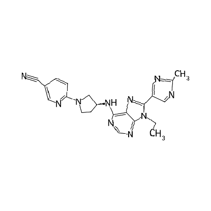 CCn1c(-c2cnc(C)nc2)nc2c(N[C@H]3CCN(c4ccc(C#N)cn4)C3)ncnc21